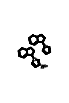 C1=CCC2CCC([c-]3cccc3)C2=C1.C1=CCC2CCC([c-]3cccc3)C2=C1.[Zr+2]